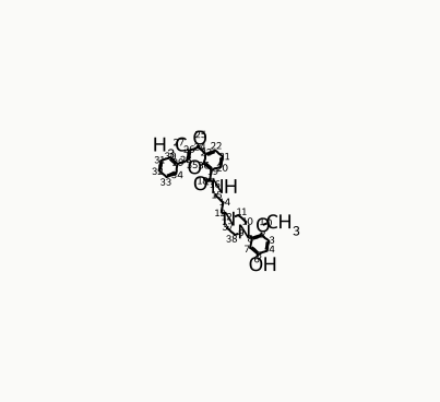 COc1ccc(O)cc1N1CCN(CCCNC(=O)c2cccc3c(=O)c(C)c(-c4ccccc4)oc23)CC1